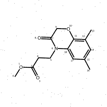 COC(=O)CCN1C(=O)COc2c(C)cc(C)cc21